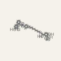 CS(=O)(=O)Nc1cc([C@H](O)CNCCCCCCCCCN2CCC(OC(=O)Nc3ccccc3-c3ccc(O)c(Cl)c3)CC2)ccc1O